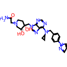 NC(=O)CN1CC[C@@](O)(Cn2cnc3c(N(Cc4ccc(-n5cccn5)cc4)C4CC4)ncnc32)[C@H](O)C1